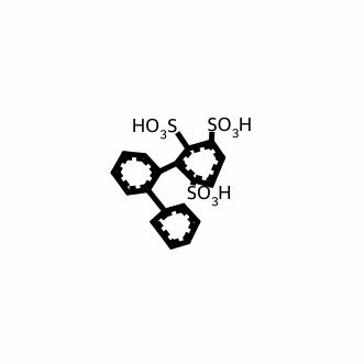 O=S(=O)(O)c1ccc(S(=O)(=O)O)c(S(=O)(=O)O)c1-c1ccccc1-c1ccccc1